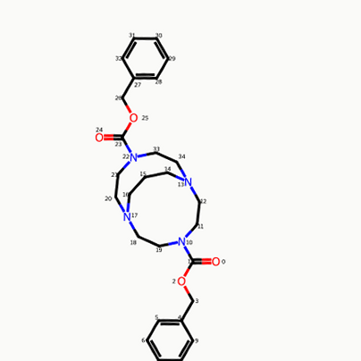 O=C(OCc1ccccc1)N1CCN2CCCN(CC1)CCN(C(=O)OCc1ccccc1)CC2